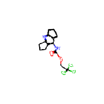 O=C(Nc1c2c(nc3c1CCC3)CCC2)OCC(Cl)(Cl)Cl